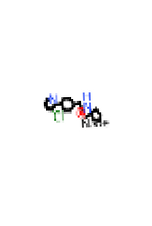 CNC(=O)C1(NCCC2CCC(c3ncccc3Cl)CC2)CCCC1